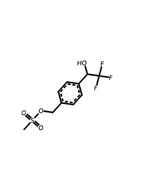 CS(=O)(=O)OCc1ccc(C(O)C(F)(F)F)cc1